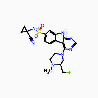 CN1CCN(c2ncnc3[nH]c4cc(S(=O)(=O)NC5(C#N)CC5)ccc4c23)CC1CF